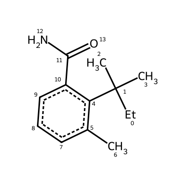 CCC(C)(C)c1c(C)cccc1C(N)=O